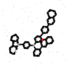 c1ccc(N(c2ccc(-c3ccc(-c4ccc5ccccc5c4)cc3)cc2)c2ccc(-n3c4ccccc4c4ccccc43)cc2)c(-c2ccc3ccccc3c2)c1